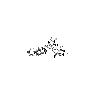 Cc1nc2c(c(-c3cc(F)c(O)c(C(N)=O)c3)cn2CC(=O)Nc2cc(N3CCOCC3)ncc2Cl)c(=O)n1C